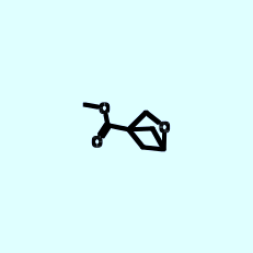 COC(=O)C12COC(C1)C2